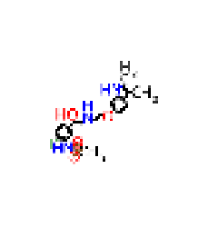 Cc1[nH]c2cc(OCCNCC(O)c3ccc(F)c(NS(C)(=O)=O)c3)ccc2c1C